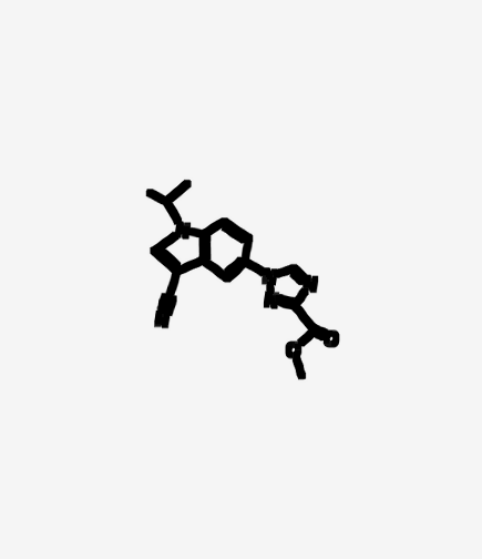 COC(=O)c1ncn(-c2ccc3c(c2)c(C#N)cn3C(C)C)n1